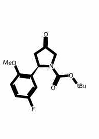 COc1ccc(F)cc1[C@H]1CC(=O)CN1C(=O)OC(C)(C)C